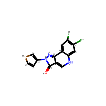 O=c1c2c[nH]c3cc(F)c(F)cc3c-2nn1-c1ccsc1